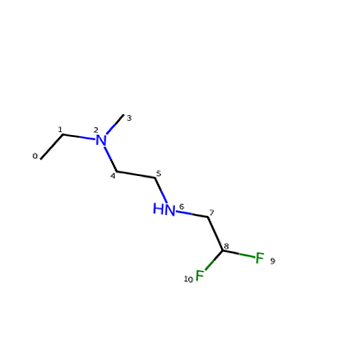 CCN(C)CCNCC(F)F